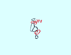 O=C(O)C(Oc1ccc2cc(OCc3ccccc3)ccc2c1)c1ccccc1